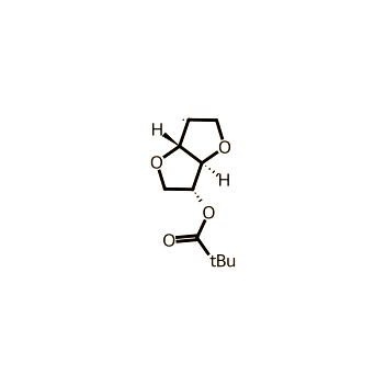 CC(C)(C)C(=O)O[C@@H]1CO[C@@H]2[CH]CO[C@H]21